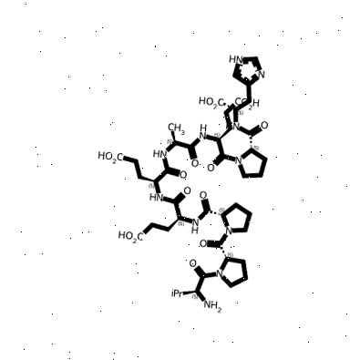 CC(C)[C@H](N)C(=O)N1CCC[C@H]1C(=O)N1CCC[C@H]1C(=O)N[C@@H](CCC(=O)O)C(=O)N[C@@H](CCC(=O)O)C(=O)N[C@@H](C)C(=O)N[C@@H](CCC(=O)O)C(=O)N1CCC[C@H]1C(=O)N[C@@H](Cc1c[nH]cn1)C(=O)O